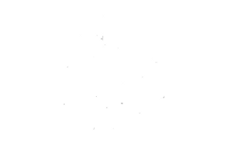 CC1(C)CCC(C)(C2=CC([Si](C)(C)C)=CC2)C2=C1C=C([Si](C)(C)C)C2